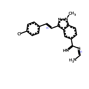 Cn1nc(/C=C/c2ccc(Cl)cc2)c2cc(C(=N)/N=C\N)ccc21